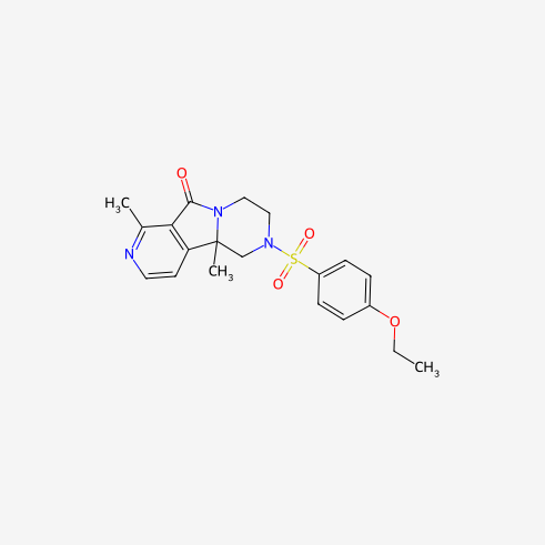 CCOc1ccc(S(=O)(=O)N2CCN3C(=O)c4c(ccnc4C)C3(C)C2)cc1